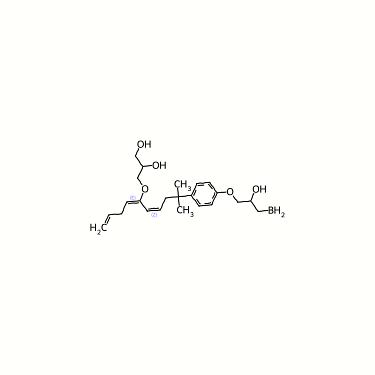 BCC(O)COc1ccc(C(C)(C)C/C=C\C(=C/CC=C)OCC(O)CO)cc1